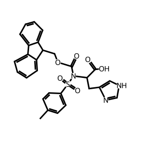 Cc1ccc(S(=O)(=O)N(C(=O)OCC2c3ccccc3-c3ccccc32)C(Cc2c[nH]cn2)C(=O)O)cc1